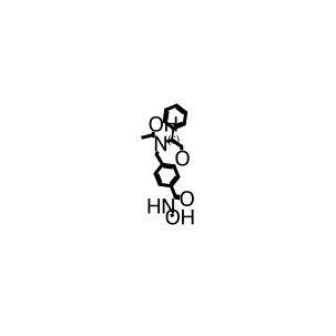 CC(O)N1Cc2ccc(C(=O)NO)cc2OC[C@@H]1c1ccccc1